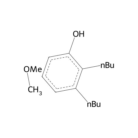 CCCCc1cccc(O)c1CCCC.COC